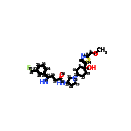 COCc1ncc(C2(O)CCC(N3CC[C@@H](NC(=O)CCC(=N)c4cccc(CF)c4)C3)CC2)s1